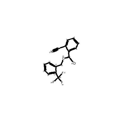 N#Cc1ccccc1C([O])OCc1ccccc1C(F)(F)F